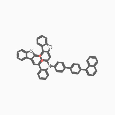 c1ccc(N(c2ccc(-c3ccc(-c4cccc5ccccc45)cc3)cc2)c2ccc3c(c2)oc2ccccc23)c(-c2ccc3sc4ccccc4c3c2)c1